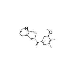 C=C(c1cc(C)c(C)c(OC)c1)c1ccc2ncccc2c1